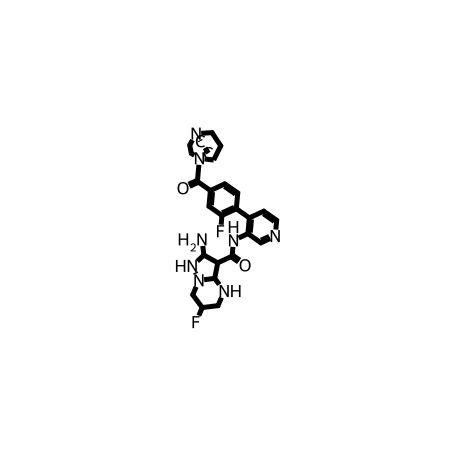 NC1NN2CC(F)CNC2C1C(=O)Nc1cnccc1-c1ccc(C(=O)N2CCN3CCC2CC3)cc1F